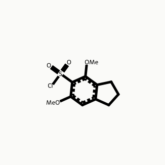 COc1cc2c(c(OC)c1S(=O)(=O)Cl)CCC2